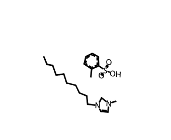 CCCCCCCCCCN1C=CN(C)C1.Cc1ccccc1S(=O)(=O)O